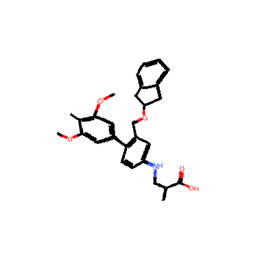 COc1cc(-c2ccc(NCC(C)C(=O)O)cc2COC2Cc3ccccc3C2)cc(OC)c1C